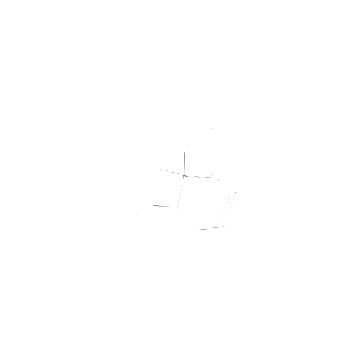 CCOC1(CC)NC=CC=C1C(=O)O